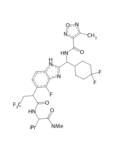 CNC(=O)C(NC(=O)C(CC(F)(F)F)c1ccc2[nH]c(C(NC(=O)c3nonc3C)C3CCC(F)(F)CC3)nc2c1F)C(C)C